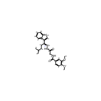 COc1ccc(C(=O)NCC(=O)N/N=C(\CCC(C)C)c2csc3ccccc23)cc1OC